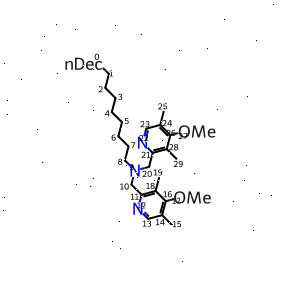 CCCCCCCCCCCCCCCCCCN(Cc1ncc(C)c(OC)c1C)Cc1ncc(C)c(OC)c1C